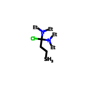 CCN(CC)C(Cl)(CC[SiH3])N(CC)CC